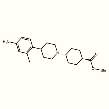 CC(C)(C)OC(=O)[C@H]1CC[C@H](N2CCC(c3ccc(N)cc3F)CC2)CC1